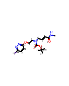 CNC(=O)/C=C/CN(CCOc1ccc(I)nn1)C(=O)OC(C)(C)C